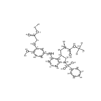 CCOC(=O)COc1cc(Nc2ncnc3c2C(CN(C)C(=O)OC(C)(C)C)CN3S(=O)(=O)c2ccccc2)ccc1OC